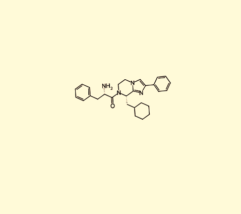 N[C@@H](Cc1ccccc1)C(=O)N1CCn2cc(-c3ccccc3)nc2[C@@H]1CC1CCCCC1